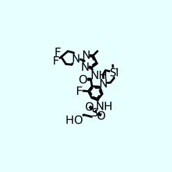 Cc1cc(NC(=O)c2c(F)cc(NS(=O)(=O)CCO)cc2N2CC[Si](C)(C)CC2)nc(N2CCC(F)(F)CC2)n1